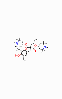 CCCCC(Cc1cc(CC)c(O)c(CC)c1)(C(=O)OC1CC(C)(C)N(C)C(C)(C)C1)C(=O)OC1CC(C)(C)N(C)C(C)(C)C1